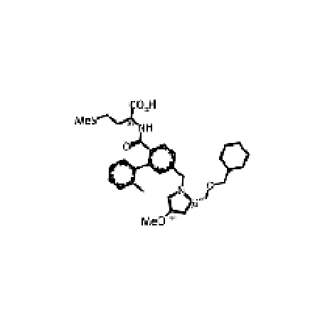 CO[C@@H]1C[C@@H](COCC2CCCCC2)N(Cc2ccc(C(=O)N[C@@H](CCSC)C(=O)O)c(-c3ccccc3C)c2)C1